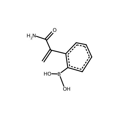 C=C(C(N)=O)c1ccccc1B(O)O